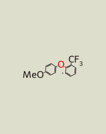 COc1ccc(Oc2[c]cccc2C(F)(F)F)cc1